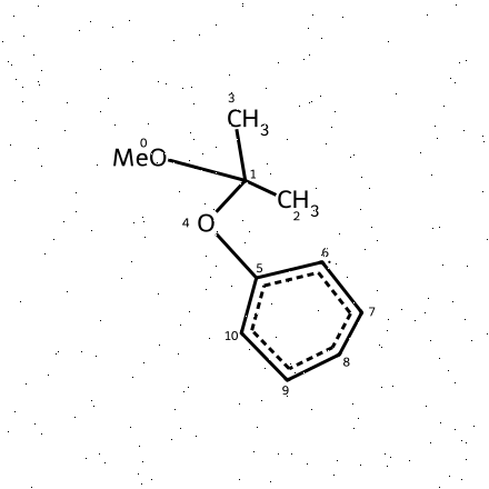 COC(C)(C)Oc1[c]cccc1